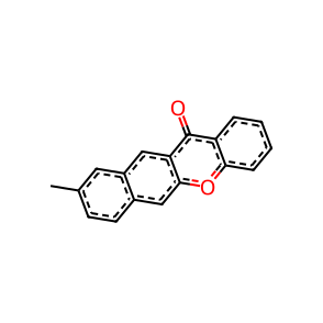 Cc1ccc2cc3oc4ccccc4c(=O)c3cc2c1